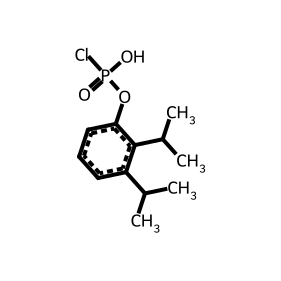 CC(C)c1cccc(OP(=O)(O)Cl)c1C(C)C